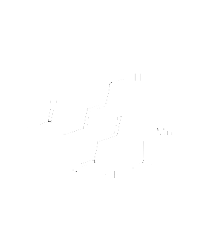 O=C([O-])Cc1cc(C(=O)O)ccc1C(=O)O.O=C([O-])[CH2][Mn].[Co+2]